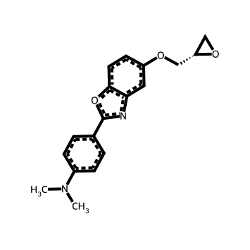 CN(C)c1ccc(-c2nc3cc(OC[C@@H]4CO4)ccc3o2)cc1